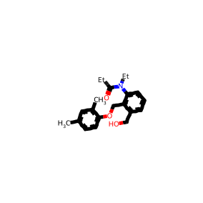 CCC(=O)N(CC)c1cccc(CO)c1COc1ccc(C)cc1C